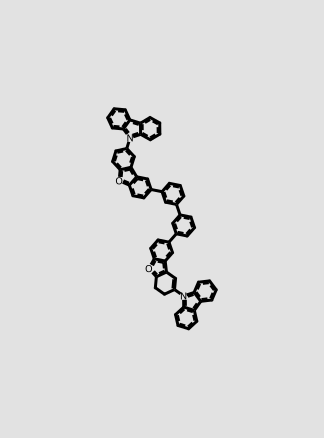 C1=C(n2c3ccccc3c3ccccc32)CCc2oc3ccc(-c4cccc(-c5cccc(-c6ccc7oc8ccc(-n9c%10ccccc%10c%10ccccc%109)cc8c7c6)c5)c4)cc3c21